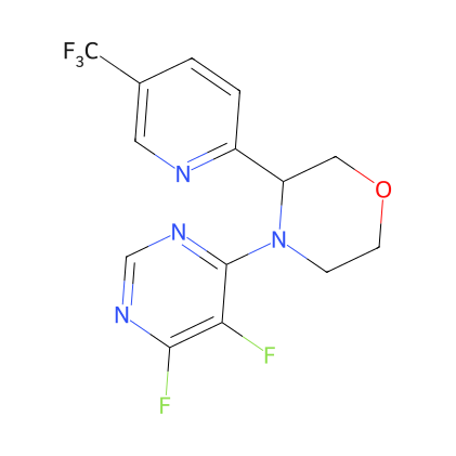 Fc1ncnc(N2CCOCC2c2ccc(C(F)(F)F)cn2)c1F